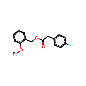 CCOc1ccccc1COC(=O)Cc1ccc(F)cc1